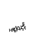 Fc1cccc(COC2CCNCC2)c1